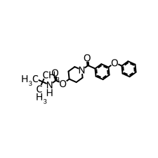 CC(C)(C)NC(=O)OC1CCN(C(=O)c2cccc(Oc3ccccc3)c2)CC1